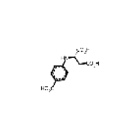 O=C(O)C[C@H](Nc1ccc(C(=O)O)cc1)C(=O)O